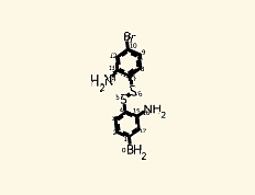 Bc1ccc(SSc2ccc(Br)cc2N)c(N)c1